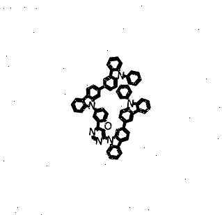 c1ccc(-n2c3ccccc3c3cc(-c4ccc5c6ccccc6n(-c6ccc7oc8c(-n9c%10ccccc%10c%10ccc(-c%11ccc%12c(c%11)c%11ccccc%11n%12-c%11ccccc%11)cc%109)ncnc8c7c6)c5c4)ccc32)cc1